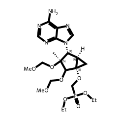 CCOP(=O)(CO[C@@]12C[C@@H]1[C@@H](n1cnc3c(N)ncnc31)[C@](C)(OCOC)C2OCOC)OCC